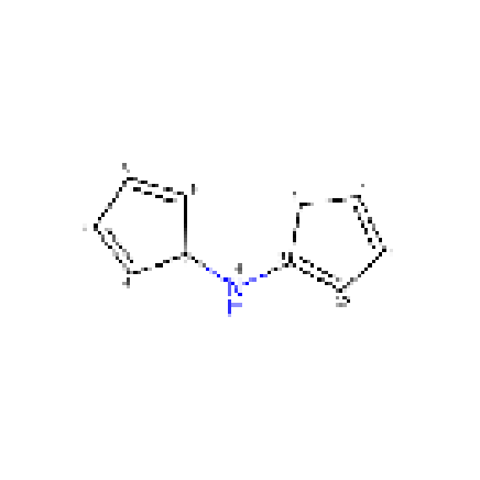 C1=CCC(NC2C=CC=C2)=C1